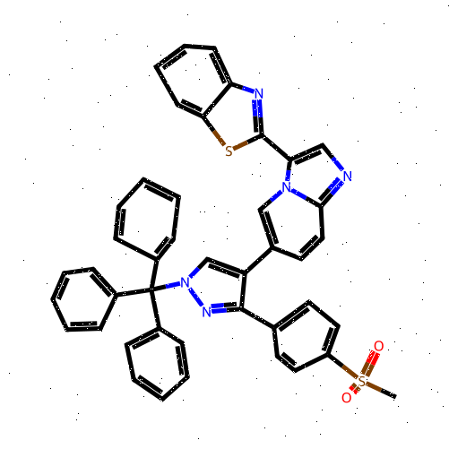 CS(=O)(=O)c1ccc(-c2nn(C(c3ccccc3)(c3ccccc3)c3ccccc3)cc2-c2ccc3ncc(-c4nc5ccccc5s4)n3c2)cc1